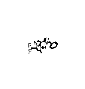 C=C1C=C(C(F)F)n2ncc(C(=C)NCc3ccccc3)c2N1